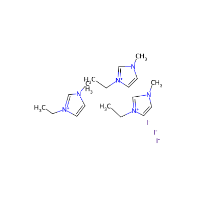 CC[n+]1ccn(C)c1.CC[n+]1ccn(C)c1.CC[n+]1ccn(C)c1.[I-].[I-].[I-]